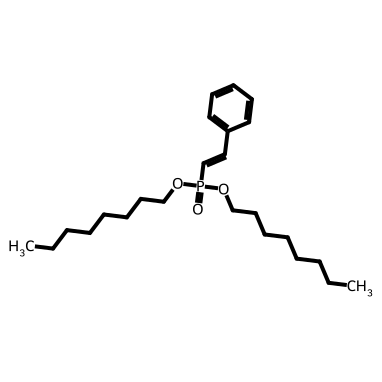 CCCCCCCCOP(=O)(C=Cc1ccccc1)OCCCCCCCC